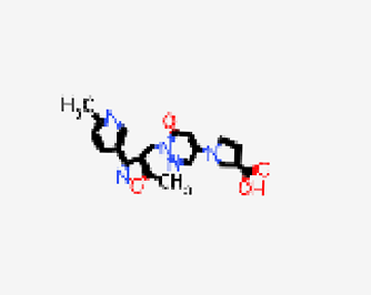 Cc1ccc(-c2noc(C)c2Cn2ncc(N3CCC(C(=O)O)C3)cc2=O)cn1